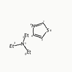 CCN(CC)CC.c1cscn1